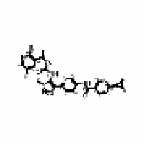 CC(OC(=O)Nc1c(-c2ccc(NC(=O)c3ccc(C4CC4)nc3)cn2)nnn1C)c1cc(F)cnc1F